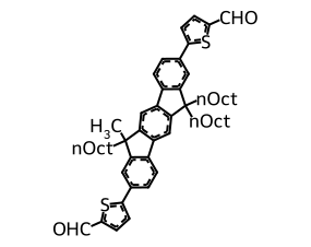 CCCCCCCCC1(C)c2cc(-c3ccc(C=O)s3)ccc2-c2cc3c(cc21)-c1ccc(-c2ccc(C=O)s2)cc1C3(CCCCCCCC)CCCCCCCC